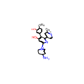 COc1ccc(-c2c(O)cc(N3CCC(N)CC3)nc2-c2ccnc(C)c2)cc1O